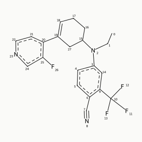 CCN(c1ccc(C#N)c(C(F)(F)F)c1)C1CCC=C(c2ccncc2F)C1